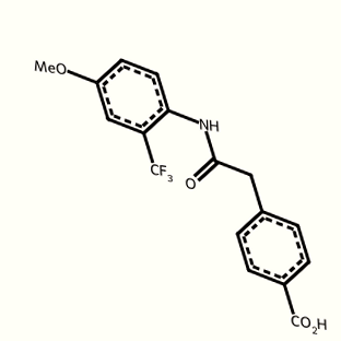 COc1ccc(NC(=O)Cc2ccc(C(=O)O)cc2)c(C(F)(F)F)c1